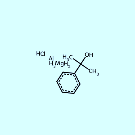 CC(C)(O)c1ccccc1.Cl.[AlH3].[MgH2]